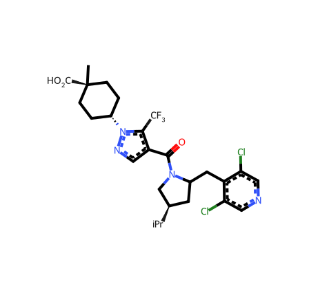 CC(C)[C@@H]1CC(Cc2c(Cl)cncc2Cl)N(C(=O)c2cnn([C@H]3CC[C@](C)(C(=O)O)CC3)c2C(F)(F)F)C1